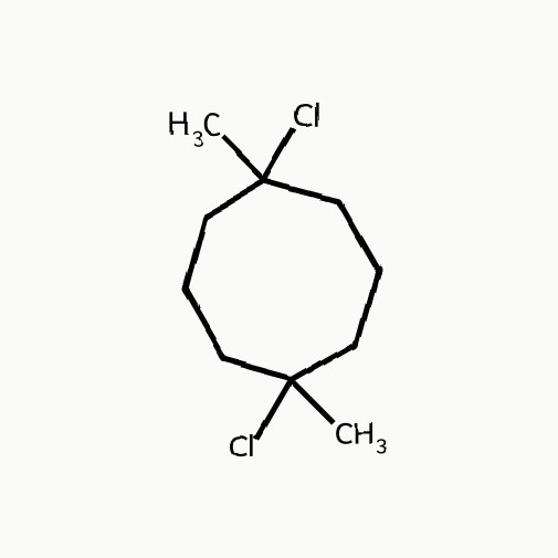 CC1(Cl)CCCC(C)(Cl)CCC1